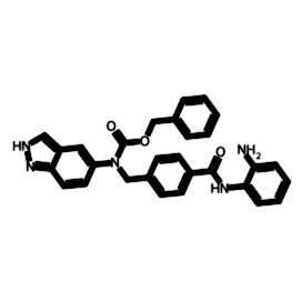 Nc1ccccc1NC(=O)c1ccc(CN(C(=O)OCc2ccccc2)c2ccc3n[nH]cc3c2)cc1